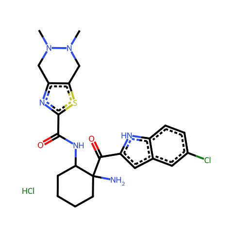 CN1Cc2nc(C(=O)NC3CCCCC3(N)C(=O)c3cc4cc(Cl)ccc4[nH]3)sc2CN1C.Cl